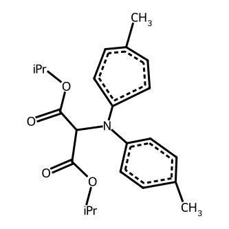 Cc1ccc(N(c2ccc(C)cc2)C(C(=O)OC(C)C)C(=O)OC(C)C)cc1